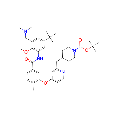 COc1c(CN(C)C)cc(C(C)(C)C)cc1NC(=O)c1ccc(C)c(Oc2ccnc(CC3CCN(C(=O)OC(C)(C)C)CC3)c2)c1